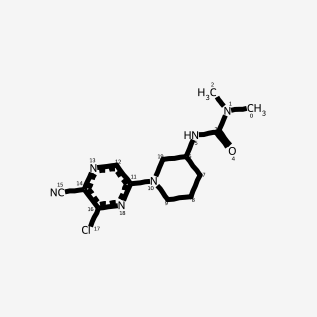 CN(C)C(=O)NC1CCCN(c2cnc(C#N)c(Cl)n2)C1